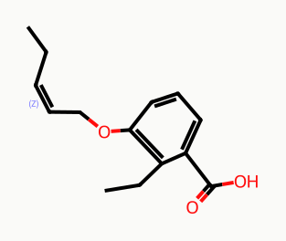 CC/C=C\COc1cccc(C(=O)O)c1CC